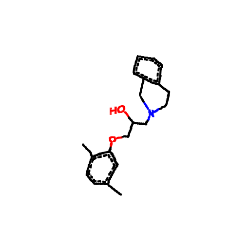 Cc1ccc(C)c(OCC(O)CN2CCc3ccccc3C2)c1